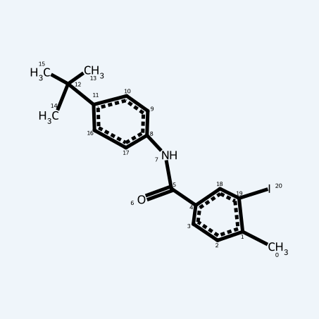 Cc1ccc(C(=O)Nc2ccc(C(C)(C)C)cc2)cc1I